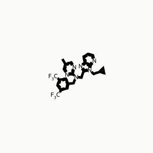 Cc1cnc(N(Cc2cc(C(F)(F)F)cc(C(F)(F)F)c2)Cc2nc3cccnc3n2CC2CC2)nc1